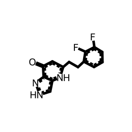 O=c1cc(CCc2cccc(F)c2F)[nH]c2c[nH]nc12